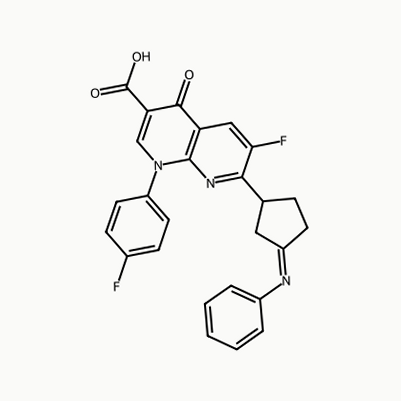 O=C(O)c1cn(-c2ccc(F)cc2)c2nc(C3CCC(=Nc4ccccc4)C3)c(F)cc2c1=O